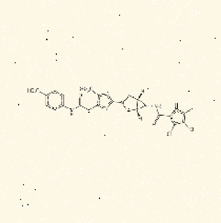 Cc1[nH]c(C(=O)N[C@@H]2[C@@H]3CN(c4nc(CC(=O)Nc5ccc(C(=O)O)cc5)c(C(=O)O)s4)C[C@@H]32)c(Cl)c1Cl